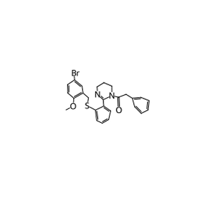 COc1ccc(Br)cc1CSc1ccccc1C1=NCCCN1C(=O)Cc1ccccc1